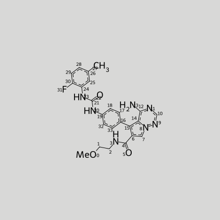 COCCNC(=O)c1cn2ncnc(N)c2c1-c1ccc(NC(=O)Nc2cc(C)ccc2F)cc1